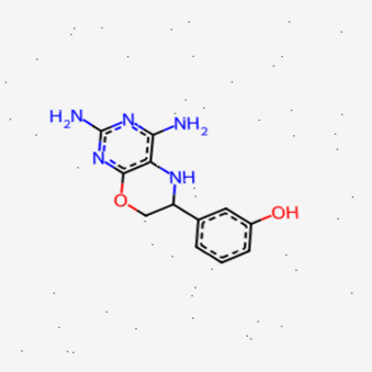 Nc1nc(N)c2c(n1)OCC(c1cccc(O)c1)N2